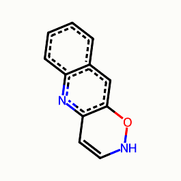 C1=Cc2nc3ccccc3cc2ON1